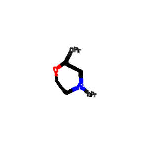 CCCC1CN(CCC)CCO1